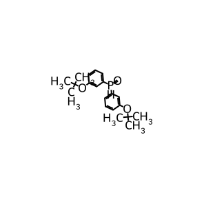 CC(C)(C)Oc1cccc([PH](=O)c2cccc(OC(C)(C)C)c2)c1